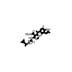 CC/C(=N\NC(C)C1CC1)Nc1ncnc(C(C)c2cc(F)c3[nH]c(C)cc3c2F)c1C(=O)NC